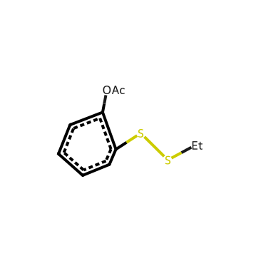 CCSSc1ccccc1OC(C)=O